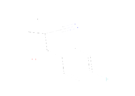 N#CC1(C(=O)c2ccc(F)cc2)CC1